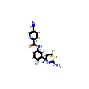 C[C@@H]1SC(N)=N[C@](C)(c2cc(NC(=O)c3ccc(C#N)cn3)ccc2F)[C@@H]1F